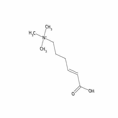 C[N+](C)(C)CCCC=CC(=O)O